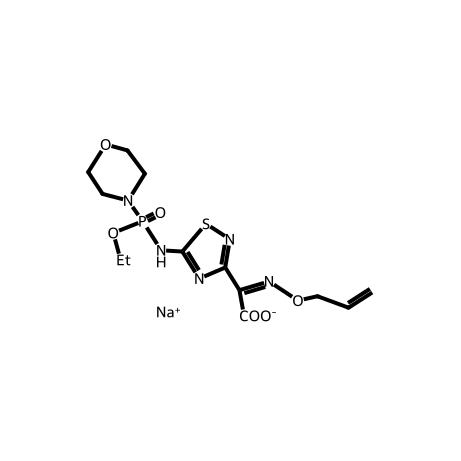 C=CCO/N=C(\C(=O)[O-])c1nsc(NP(=O)(OCC)N2CCOCC2)n1.[Na+]